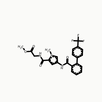 COC(=O)CNC(=O)c1cc(NC(=O)c2ccccc2-c2ccc(C(F)(F)F)cc2)cn1C